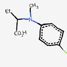 CCC(C(=O)O)N(C)c1ccc(F)cc1